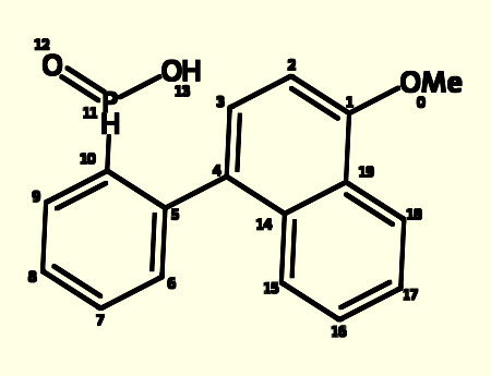 COc1ccc(-c2ccccc2[PH](=O)O)c2ccccc12